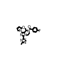 Cc1nsc(-c2nc(N3CC=CC3=O)c3n2CCN(C(=O)c2ccc(F)cc2)C3C)n1